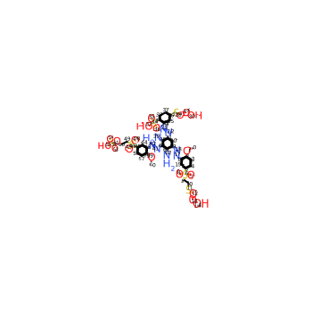 COc1ccc(S(=O)(=O)CCSOOO)cc1/N=N/c1cc(/N=N/c2cc(SOOO)ccc2S(=O)(=O)O)c(N)c(/N=N/c2cc(S(=O)(=O)CCOS(=O)(=O)O)ccc2OC)c1N